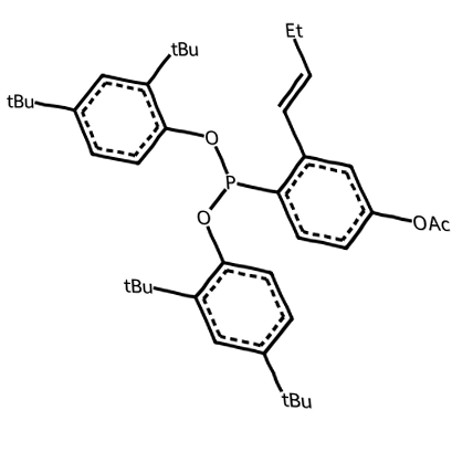 CCC=Cc1cc(OC(C)=O)ccc1P(Oc1ccc(C(C)(C)C)cc1C(C)(C)C)Oc1ccc(C(C)(C)C)cc1C(C)(C)C